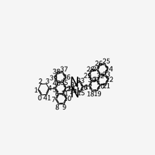 C1=CCCC(c2c3ccccc3c(-c3ncc(-c4ccc5ccc6cccc7ccc4c5c67)cn3)c3ccccc23)=C1